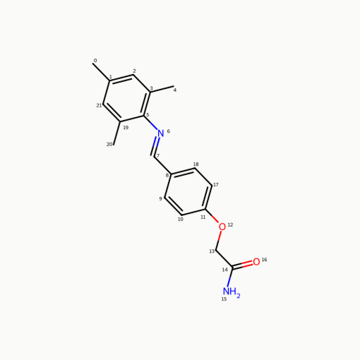 Cc1cc(C)c(/N=C/c2ccc(OCC(N)=O)cc2)c(C)c1